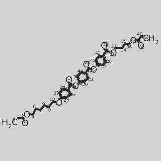 C=CC(=O)OCCCCCCOc1ccc(C(=O)Oc2ccc(C(=O)Oc3ccc(C(=O)OCCCCOC(=O)C=C)cc3)cc2)cc1